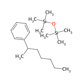 CCCCCC(C)c1ccccc1.C[Si](C)(C)O[Si](C)(C)C